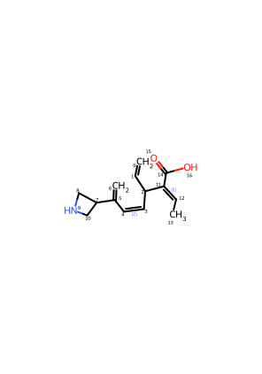 C=CC(/C=C\C(=C)C1CNC1)/C(=C\C)C(=O)O